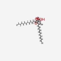 CCCCCCCCCCCCCC(=O)C(CCC)(C(=O)O)C(=O)CCCCCCCCCCCCC